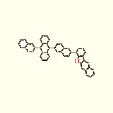 c1ccc2cc(-c3c4ccccc4c(-c4ccc5cc(-c6cccc7c6oc6cc8ccccc8cc67)ccc5c4)c4ccccc34)ccc2c1